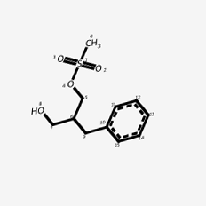 CS(=O)(=O)OCC(CO)Cc1ccccc1